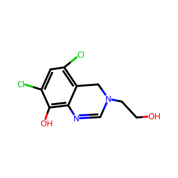 OCCN1C=Nc2c(O)c(Cl)cc(Cl)c2C1